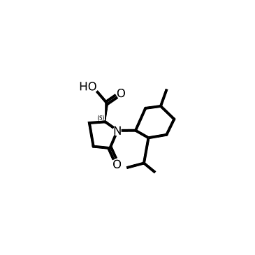 CC1CCC(C(C)C)C(N2C(=O)CC[C@H]2C(=O)O)C1